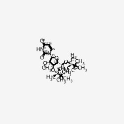 CO[C@H]1[C@H](O[Si](C)(C)C(C)(C)C)[C@@H](CO[Si](C)(C)C(C)(C)C)O[C@H]1n1ccc(=O)[nH]c1=O